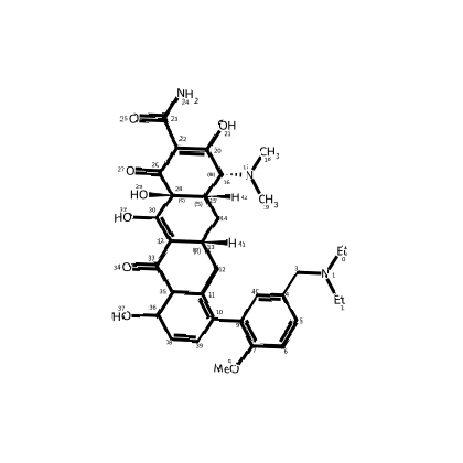 CCN(CC)Cc1ccc(OC)c(C2=C3C[C@H]4C[C@H]5[C@@H](N(C)C)C(O)=C(C(N)=O)C(=O)[C@@]5(O)C(O)=C4C(=O)C3C(O)C=C2)c1